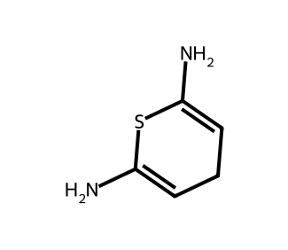 NC1=CCC=C(N)S1